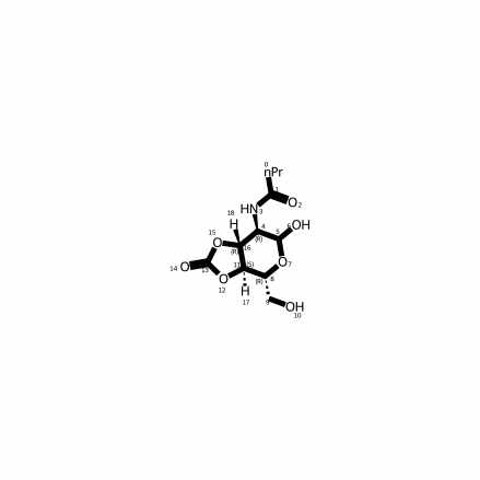 CCCC(=O)N[C@H]1C(O)O[C@H](CO)[C@H]2OC(=O)O[C@@H]21